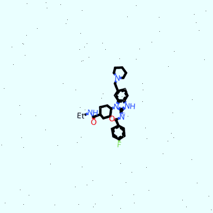 CCNC(=O)C1CCC(n2/c(=N\C(=O)c3ccc(F)cc3)[nH]c3ccc(CN4CCCCC4)cc32)CC1